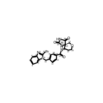 CC(C)c1nc2ccccc2n1Cc1ccc(C(=O)N[C@@H]2CCOC[C@]23NC(=O)NC3=O)cc1